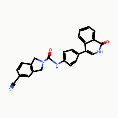 N#Cc1ccc2c(c1)CN(C(=O)Nc1ccc(-c3c[nH]c(=O)c4ccccc34)cc1)C2